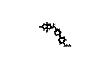 CC(=O)Nc1ccc(-c2ccc(N[C@H]3C[C@H]4CNC[C@H]4C3)nn2)cc1